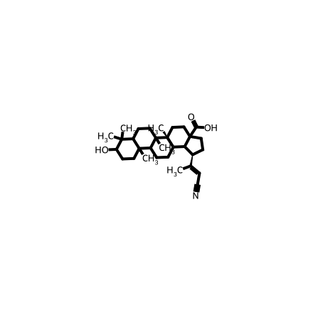 C/C(=C\C#N)[C@@H]1CCC2(C(=O)O)CC[C@]3(C)C(CCC4C5(C)CCC(O)C(C)(C)C5CCC43C)C12